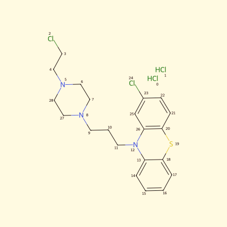 Cl.Cl.ClCCN1CCN(CCCN2c3ccccc3Sc3ccc(Cl)cc32)CC1